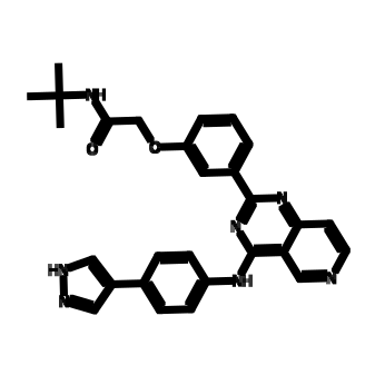 CC(C)(C)NC(=O)COc1cccc(-c2nc(Nc3ccc(-c4cn[nH]c4)cc3)c3cnccc3n2)c1